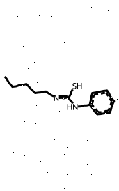 CCCCC/N=C(\S)Nc1ccccc1